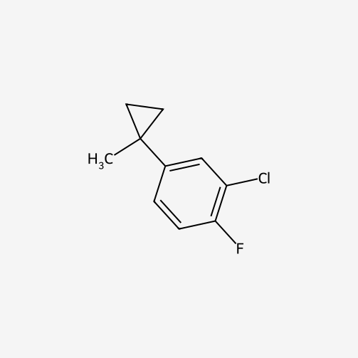 CC1(c2ccc(F)c(Cl)c2)CC1